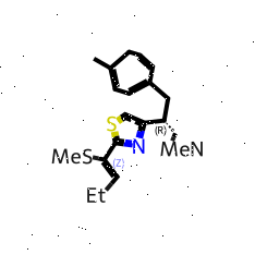 CC/C=C(\SC)c1nc([C@@H](CNC)CC2=CC=C(C)CC=C2)cs1